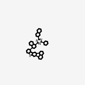 c1ccc(-c2nc(-c3ccc4ccccc4c3)nc(-c3ccc(-c4cccc5sc6cc7c(cc6c45)-c4cccc5cccc-7c45)c4ccccc34)n2)cc1